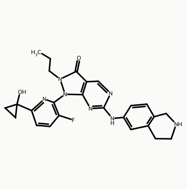 CCCn1c(=O)c2cnc(Nc3ccc4c(c3)CCNC4)nc2n1-c1nc(C2(O)CC2)ccc1F